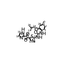 Cc1ccc(NC(=O)Nc2ncc(S(=O)(=O)c3ncc[nH]3)s2)c(OCC(C)C)c1